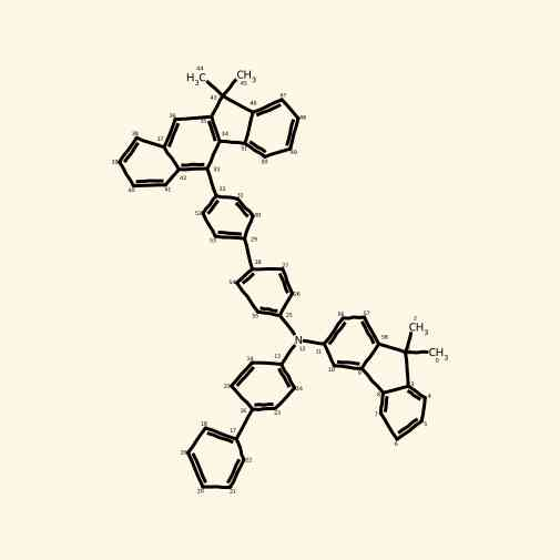 CC1(C)c2ccccc2-c2cc(N(c3ccc(-c4ccccc4)cc3)c3ccc(-c4ccc(-c5c6c(cc7ccccc57)C(C)(C)c5ccccc5-6)cc4)cc3)ccc21